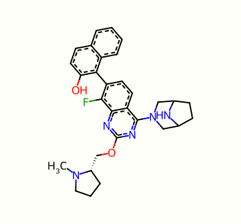 CN1CCC[C@H]1COc1nc(N2CC3CCC(C2)N3)c2ccc(-c3c(O)ccc4ccccc34)c(F)c2n1